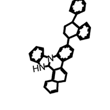 C1=CC2=C3C(=CCC2C=C1)c1ccc(C2CCC(c4ccccc4)c4ccccc42)cc1N1c2ccccc2NC31